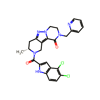 C[C@@H]1Cc2nn3c(c2CN1C(=O)c1cc2c(Cl)c(Cl)ccc2[nH]1)C(=O)N(Cc1ccccn1)CC3